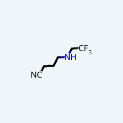 N#CCCCNCC(F)(F)F